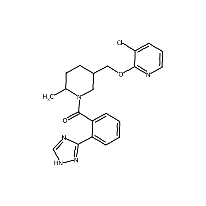 CC1CCC(COc2ncccc2Cl)CN1C(=O)c1ccccc1-c1nc[nH]n1